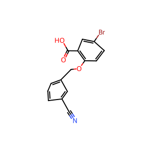 N#Cc1cccc(COc2ccc(Br)cc2C(=O)O)c1